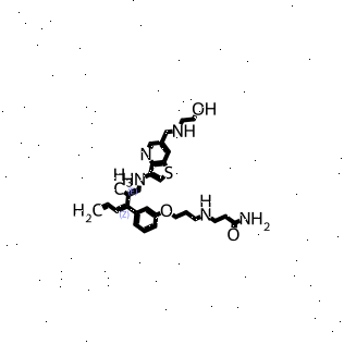 C=C/C=C(\C(C)=C\Nc1csc2cc(CNCCO)cnc12)c1cccc(OCCCNCCC(N)=O)c1